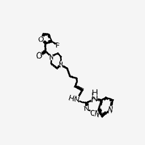 N#CN=C(NCCCCCN1CCN(C(=O)c2occc2F)CC1)Nc1ccncc1